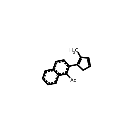 CC(=O)c1c(C2=C(C)C=CC2)ccc2ccccc12